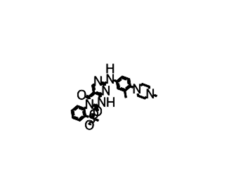 Cc1cc(Nc2ncc3c(=O)n(-c4ccccc4S(C)(=O)=O)c(=O)[nH]c3n2)ccc1N1CCN(C)CC1